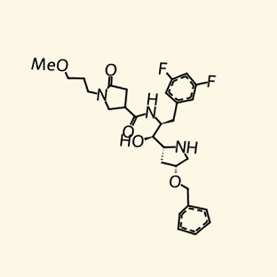 COCCCN1CC(C(=O)N[C@@H](Cc2cc(F)cc(F)c2)[C@H](O)[C@H]2C[C@@H](OCc3ccccc3)CN2)CC1=O